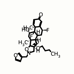 CCCCOC(=O)[C@@]12ON(Cc3ccoc3)C[C@@H]1C[C@H]1[C@@H]3C[C@H](F)C4=CC(=O)C=C[C@]4(C)[C@@]3(F)[C@@H](O)C[C@@]12C